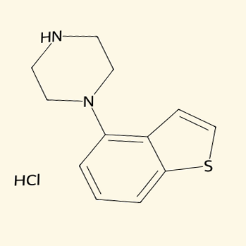 Cl.c1cc(N2CCNCC2)c2ccsc2c1